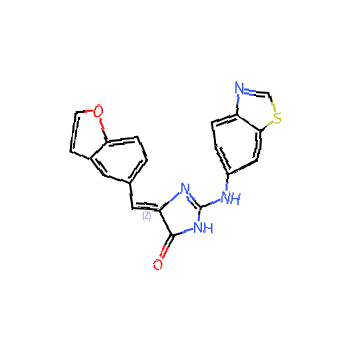 O=C1NC(Nc2ccc3ncsc3c2)=N/C1=C\c1ccc2occc2c1